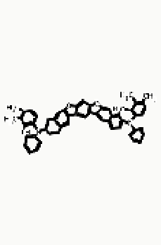 Cc1ccc(N(c2ccccc2)c2ccc3cc4c(cc3c2)oc2cc3oc5cc6cc(N(c7ccccc7)c7ccc(C)c(C)c7C)ccc6cc5c3cc24)c(C)c1C